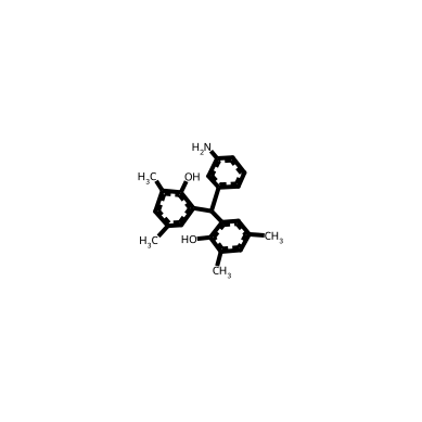 Cc1cc(C)c(O)c(C(c2cccc(N)c2)c2cc(C)cc(C)c2O)c1